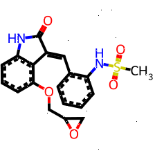 CS(=O)(=O)Nc1ccccc1/C=C1/C(=O)Nc2cccc(OCC3CO3)c21